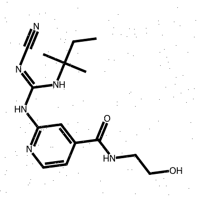 CCC(C)(C)N/C(=N\C#N)Nc1cc(C(=O)NCCO)ccn1